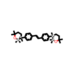 CC1(C)CC[Si](C)(c2ccc(C=Cc3ccc([Si]4(C)CCC(C)(C)O[Si]4(C)C)cc3)cc2)[Si](C)(C)O1